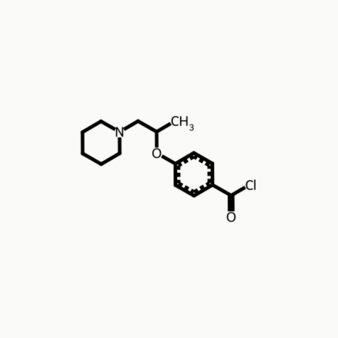 CC(CN1CCCCC1)Oc1ccc(C(=O)Cl)cc1